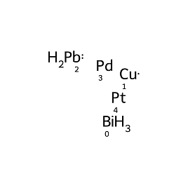 [BiH3].[Cu].[PbH2].[Pd].[Pt]